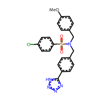 COc1ccc(CN(Cc2ccc(-c3nnn[nH]3)cc2)S(=O)(=O)c2ccc(Cl)cc2)cc1